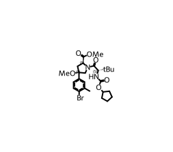 COC(=O)[C@@H]1C[C@@](OC)(c2ccc(Br)c(C)c2)CN1C(=O)[C@@H](NC(=O)OC1CCCC1)C(C)(C)C